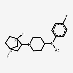 CC(=O)N(c1ccc(F)cc1)C1CCN(C2C[C@H]3CC[C@H]2C3)CC1